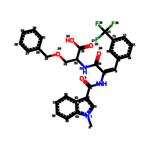 Cn1cc(C(=O)NC(=Cc2cccc(C(F)(F)F)c2)C(=O)NC(COCc2ccccc2)C(=O)O)c2ccccc21